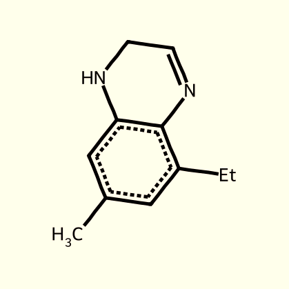 CCc1cc(C)cc2c1N=CCN2